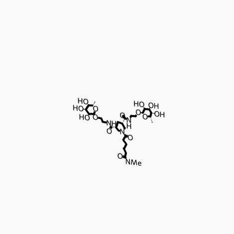 CNC(=O)CCCCC(=O)N1C[C@H](C(=O)NCCO[C@@H]2O[C@@H](C)[C@@H](O)[C@@H](O)[C@@H]2O)C[C@H](C(=O)NCCO[C@@H]2O[C@@H](C)[C@@H](O)[C@@H](O)[C@@H]2O)C1